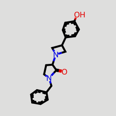 O=C1C(N2CC(c3ccc(O)cc3)C2)CCN1Cc1ccccc1